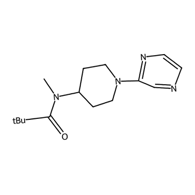 CN(C(=O)C(C)(C)C)C1CCN(c2cnccn2)CC1